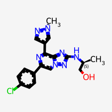 C[C@@H](CO)Nc1nc2c(-c3cnn(C)c3)nc(-c3ccc(Cl)cc3)cn2n1